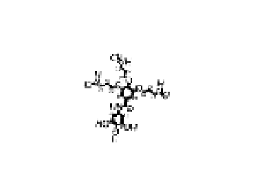 O=C(Nc1cc(O)c(O)c(O)c1)c1cc(OCCCNCl)c(OCCCNCl)c(OCCCNCl)c1